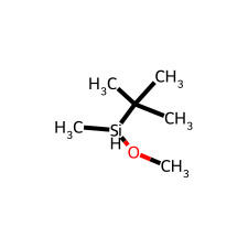 CO[SiH](C)C(C)(C)C